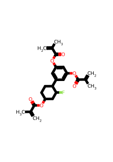 C=C(C)C(=O)Oc1cc(OC(=O)C(=C)C)cc(C2CCC(OC(=O)C(=C)C)CC2F)c1